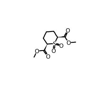 COC(=O)[C@H]1CCC[C@@H](C(=O)OC)S1(=O)=O